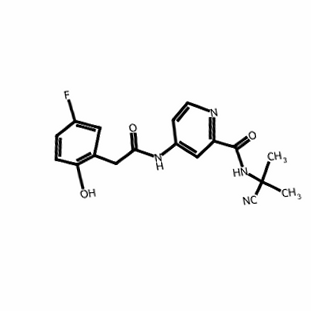 CC(C)(C#N)NC(=O)c1cc(NC(=O)Cc2cc(F)ccc2O)ccn1